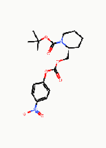 CC(C)(C)OC(=O)N1CCCC[C@H]1COC(=O)Oc1ccc([N+](=O)[O-])cc1